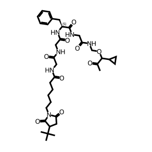 CC(=O)C(OCNC(=O)CNC(=O)[C@H](Cc1ccccc1)NC(=O)CNC(=O)CNC(=O)CCCCCN1C(=O)CC(C(C)(C)C)C1=O)C1CC1